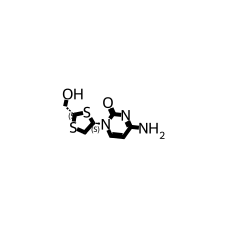 Nc1ccn([C@@H]2CS[C@H](CO)S2)c(=O)n1